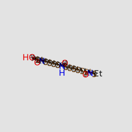 CCSC/N=C/[S+]([O-])CSCSCSCSCSC(=O)NCSCSCSCSC/N=C/[S+]([O-])CCO